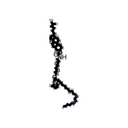 CCCCC/C=C\C/C=C\CCCCCCCCOCC(CN1CCCC1C)OCCOCCOCCNC(=O)O[C@H]1CC[C@@]2(C)C(=CC[C@H]3C4CCC(CCCCC(C)C)[C@@]4(C)CCC32)C1